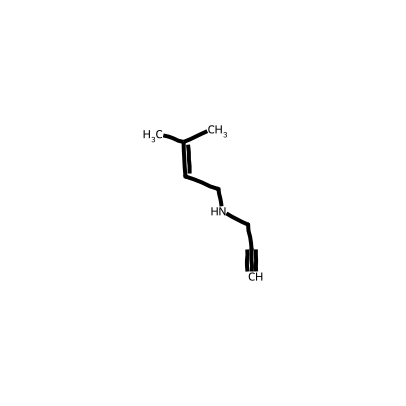 C#CCNCC=C(C)C